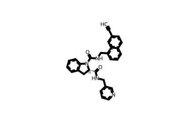 C#Cc1ccc2cccc(CNC(=O)N3c4ccccc4C[C@H]3C(=O)NCc3cccnc3)c2c1